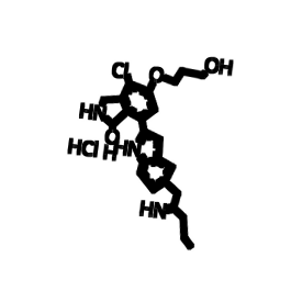 CCCC(=N)Cc1ccc2[nH]c(-c3cc(OCCCO)c(Cl)c4c3C(O)NC4)cc2c1.Cl